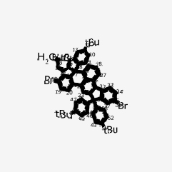 C=C(/C=C\C(=C/C)C1(c2ccc(C(C)(C)C)cc2)c2cc(Br)ccc2-c2cc3c(c4cccc1c24)-c1ccc(Br)cc1C3(c1ccc(C(C)(C)C)cc1)c1ccc(C(C)(C)C)cc1)C(C)(C)C